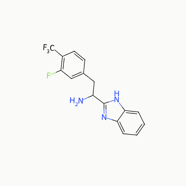 NC(Cc1ccc(C(F)(F)F)c(F)c1)c1nc2ccccc2[nH]1